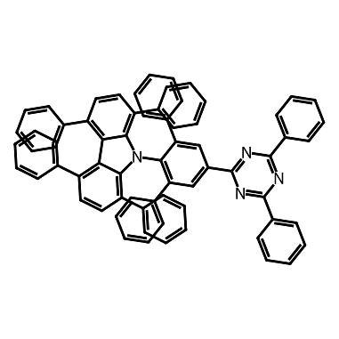 c1ccc(-c2nc(-c3ccccc3)nc(-c3cc(-c4ccccc4)c(-n4c5c(-c6ccccc6)ccc(-c6ccccc6)c5c5c(-c6ccccc6)ccc(-c6ccccc6)c54)c(-c4ccccc4)c3)n2)cc1